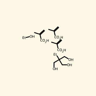 C=C(C)C(=O)O.C=C(C)C(=O)O.C=C(C)C(=O)O.CCC(CO)(CO)CO.CCO